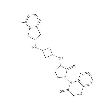 O=C1C(NC2CC(NC3Cc4cccc(F)c4C3)C2)CCN1N1C(=O)COc2cccnc21